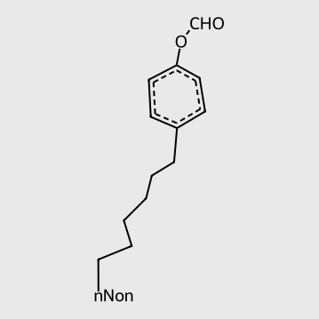 CCCCCCCCCCCCCCCc1ccc(OC=O)cc1